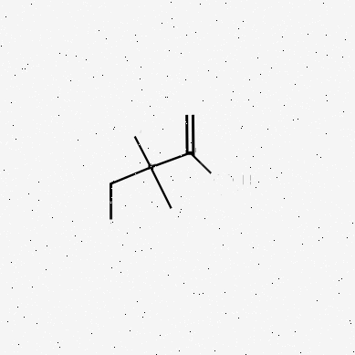 C=C(C(=O)O)C(C)(C)CC(C)=O